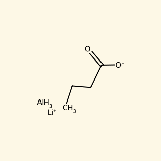 CCCC(=O)[O-].[AlH3].[Li+]